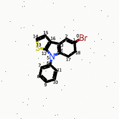 BrC1=Cc2c(n(-c3ccccc3)c3sccc23)CC1